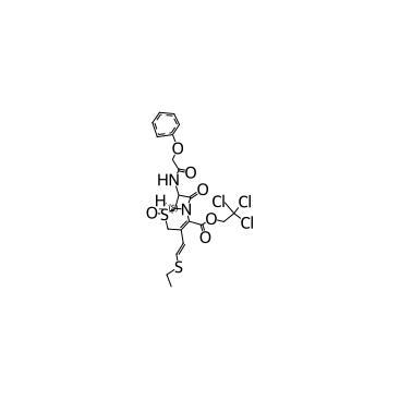 CCSC=CC1=C(C(=O)OCC(Cl)(Cl)Cl)N2C(=O)C(NC(=O)COc3ccccc3)[C@@H]2[S+]([O-])C1